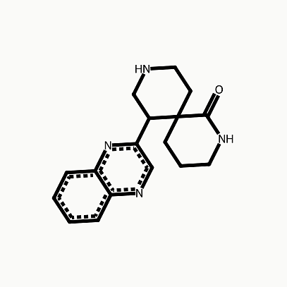 O=C1NCCCC12CCNCC2c1cnc2ccccc2n1